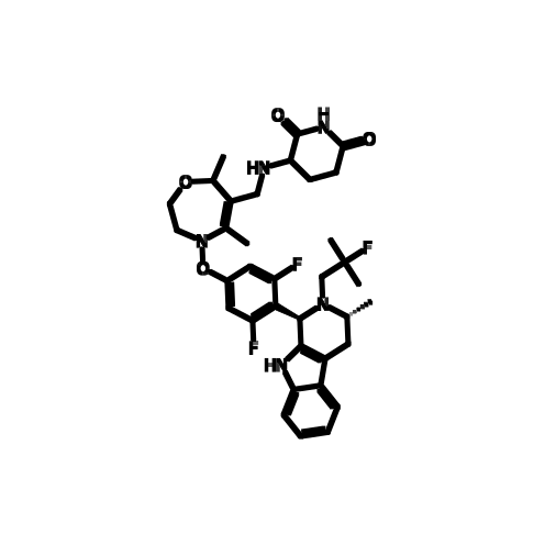 CC1=C(CNC2CCC(=O)NC2=O)C(C)OCCN1Oc1cc(F)c([C@@H]2c3[nH]c4ccccc4c3C[C@@H](C)N2CC(C)(C)F)c(F)c1